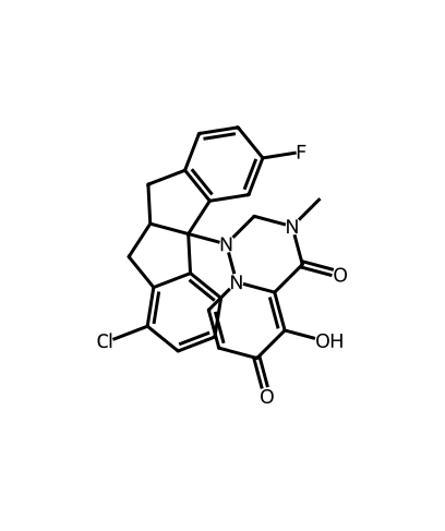 CN1CN(C23c4cc(F)ccc4CC2Cc2c(Cl)cccc23)n2ccc(=O)c(O)c2C1=O